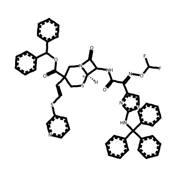 O=C(NC1C(=O)N2CC(C=CSc3cccnc3)(C(=O)OC(c3ccccc3)c3ccccc3)CS[C@H]12)C(=NOC(F)F)c1csc(NC(c2ccccc2)(c2ccccc2)c2ccccc2)n1